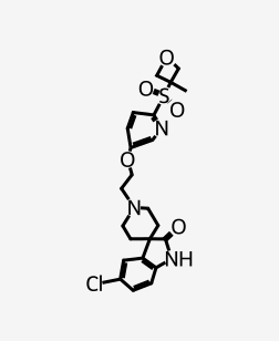 CC1(S(=O)(=O)c2ccc(OCCN3CCC4(CC3)C(=O)Nc3ccc(Cl)cc34)cn2)COC1